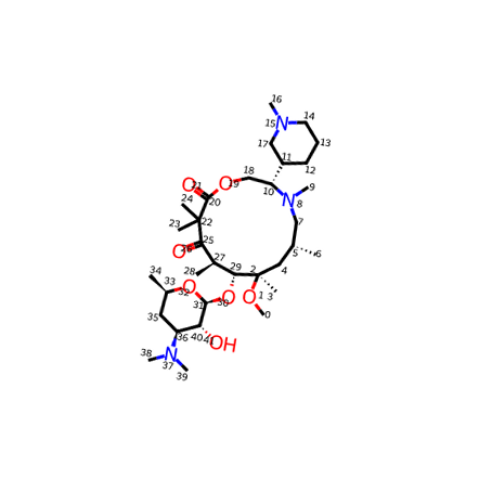 CO[C@]1(C)C[C@@H](C)CN(C)[C@@H](C2CCCN(C)C2)COC(=O)C(C)(C)C(=O)[C@H](C)[C@H]1O[C@@H]1O[C@H](C)C[C@H](N(C)C)[C@H]1O